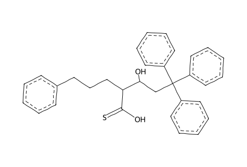 OC(=S)C(CCCc1ccccc1)C(O)CC(c1ccccc1)(c1ccccc1)c1ccccc1